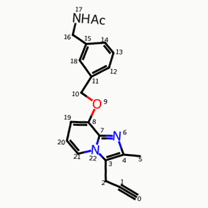 C#CCc1c(C)nc2c(OCc3cccc(CNC(C)=O)c3)cccn12